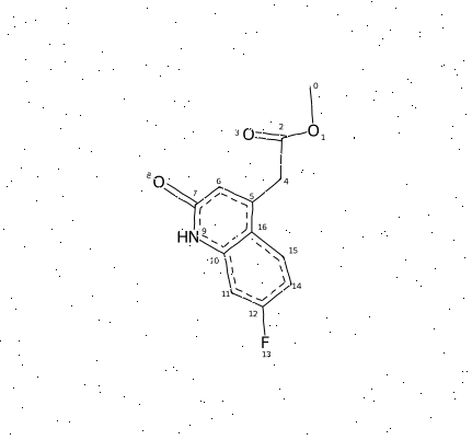 COC(=O)Cc1cc(=O)[nH]c2cc(F)ccc12